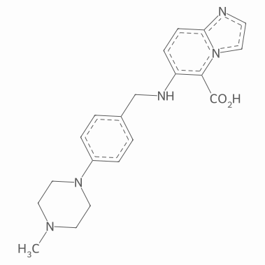 CN1CCN(c2ccc(CNc3ccc4nccn4c3C(=O)O)cc2)CC1